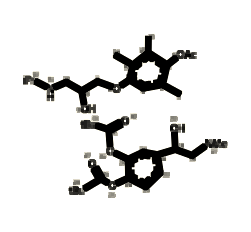 CC(=O)Oc1c(C)cc(OCC(O)CNC(C)C)c(C)c1C.CNCC(O)c1ccc(OC(=O)C(C)(C)C)c(OC(=O)C(C)(C)C)c1